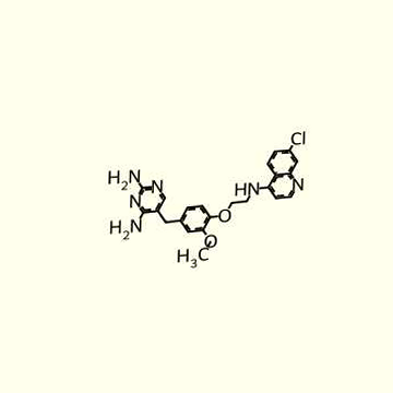 COc1cc(Cc2cnc(N)nc2N)ccc1OCCNc1ccnc2cc(Cl)ccc12